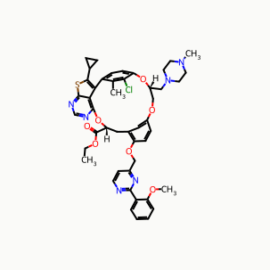 CCOC(=O)[C@H]1Cc2cc(ccc2OCc2ccnc(-c3ccccc3OC)n2)OC[C@@H](CN2CCN(C)CC2)Oc2ccc(c(C)c2Cl)-c2c(C3CC3)sc3ncnc(c23)O1